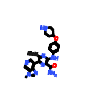 CNc1nc(Nc2ccc(OC3CCNCC3)cc2)c(C(N)=O)nc1-c1cncc2c1ncn2C